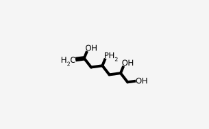 C=C(O)CC(P)CC(O)CO